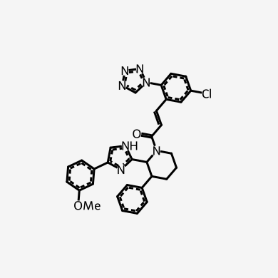 COc1cccc(-c2c[nH]c(C3C(c4ccccc4)CCCN3C(=O)C=Cc3cc(Cl)ccc3-n3cnnn3)n2)c1